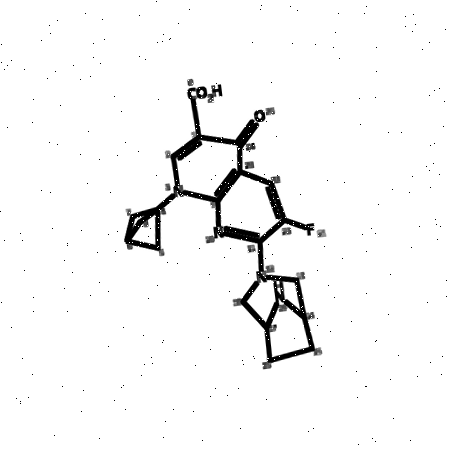 O=C(O)c1cn(C23CC(C2)C3)c2nc(N3CC4CCC(C3)N4)c(F)cc2c1=O